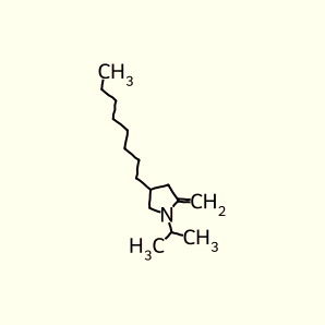 C=C1CC(CCCCCCCC)CN1C(C)C